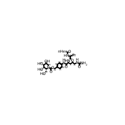 CCCCCCC(=O)NC(C(=O)NC(CCCNC(N)=O)C(=O)Nc1ccc(COC(=O)N2C[C@@H](O)[C@@H](O)[C@H](O)[C@H]2CO)cc1)C(C)C